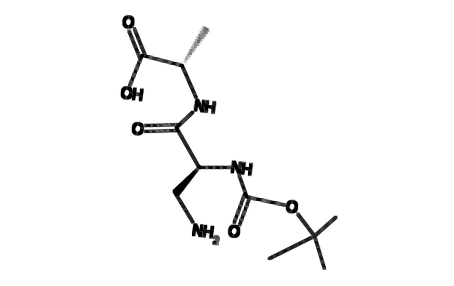 C[C@H](NC(=O)[C@H](CN)NC(=O)OC(C)(C)C)C(=O)O